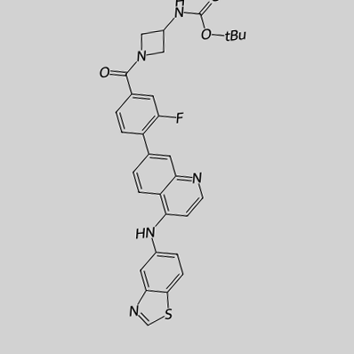 CC(C)(C)OC(=O)NC1CN(C(=O)c2ccc(-c3ccc4c(Nc5ccc6scnc6c5)ccnc4c3)c(F)c2)C1